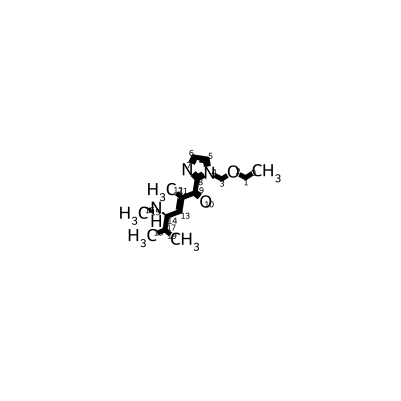 CCOCn1ccnc1C(=O)/C(C)=C/[C@@H](NC)C(C)C